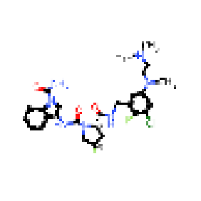 CN(C)CCN(C)c1cc(Cl)c(F)c(CNC(=O)[C@@H]2C[C@@H](F)CN2C(=O)Nc2cn(C(N)=O)c3ccccc23)c1